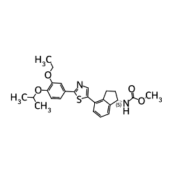 CCOc1cc(-c2ncc(-c3cccc4c3CC[C@@H]4NC(=O)OC)s2)ccc1OC(C)C